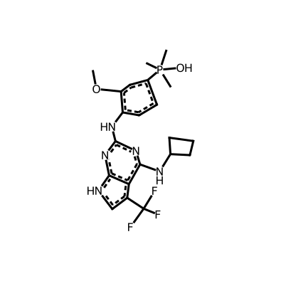 COc1cc(P(C)(C)(C)O)ccc1Nc1nc(NC2CCC2)c2c(C(F)(F)F)c[nH]c2n1